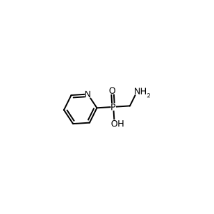 NCP(=O)(O)c1ccccn1